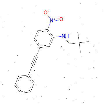 CC(C)(C)CNc1cc(C#Cc2ccccc2)ccc1[N+](=O)[O-]